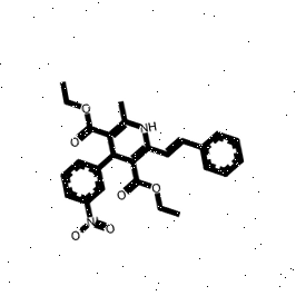 CCOC(=O)C1=C(C)NC(C=Cc2ccccc2)=C(C(=O)OCC)C1c1cccc([N+](=O)[O-])c1